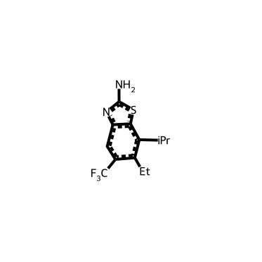 CCc1c(C(F)(F)F)cc2nc(N)sc2c1C(C)C